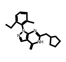 C=C1NC(CC2CCCC2)=Nc2c1cnn2-c1c(C)cccc1CC